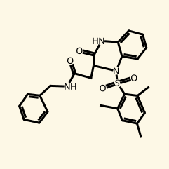 Cc1cc(C)c(S(=O)(=O)N2c3ccccc3NC(=O)C2CC(=O)NCc2ccccc2)c(C)c1